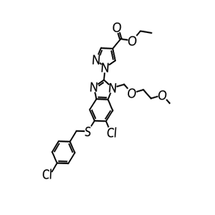 CCOC(=O)c1cnn(-c2nc3cc(SCc4ccc(Cl)cc4)c(Cl)cc3n2COCCOC)c1